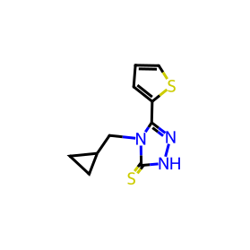 S=c1[nH]nc(-c2cccs2)n1CC1CC1